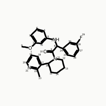 COc1cccc(NC(C(=O)N2CCCCC2c2cccnc2C)c2cccc(F)c2)c1